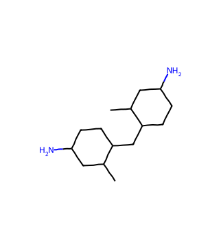 CC1CC(N)CCC1CC1CCC(N)CC1C